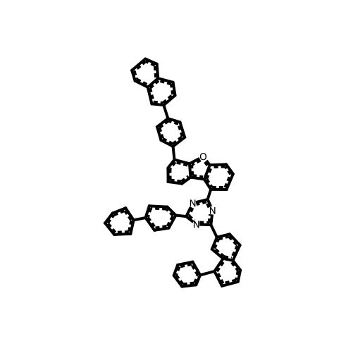 c1ccc(-c2ccc(-c3nc(-c4ccc5cccc(-c6ccccc6)c5c4)nc(-c4cccc5oc6c(-c7ccc(-c8ccc9ccccc9c8)cc7)cccc6c45)n3)cc2)cc1